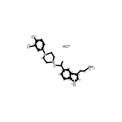 CC(ON1CCN(c2ccc(Cl)c(Cl)c2)CC1)c1ccc2[nH]cc(CCN)c2c1.Cl